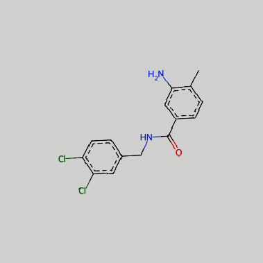 Cc1ccc(C(=O)NCc2ccc(Cl)c(Cl)c2)cc1N